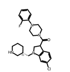 O=C(C1CN(C[C@H]2CCCNC2)c2cc(Cl)ccc21)N1CCN(c2ccccc2F)CC1